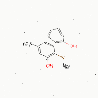 O=S(=O)(O)c1ccc([S-])c(O)c1.Oc1ccccc1.[Na+]